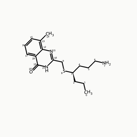 CCC[C@H](CCCN)SCc1nc2c(C)cccc2c(=O)[nH]1